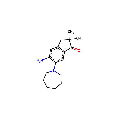 CC1(C)Cc2cc(N)c(N3CCCCCC3)cc2C1=O